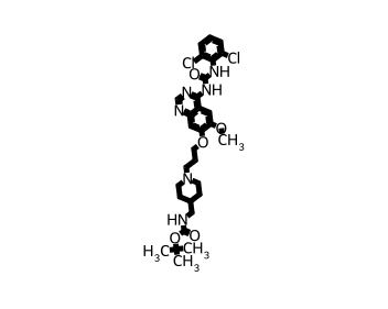 COc1cc2c(NC(=O)Nc3c(Cl)cccc3Cl)ncnc2cc1OCCCN1CCC(CNC(=O)OC(C)(C)C)CC1